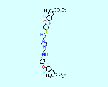 CCOC(=O)/C(C)=C/c1cc(F)c(Oc2ccc(SNCCN3CCN(CCNSc4ccc(Oc5c(F)cc(/C=C(\C)C(=O)OCC)cc5F)cc4)CC3)cc2)c(F)c1